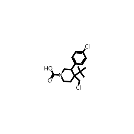 CC(C)(C)C1(CCl)CCN(C(=O)O)CC1c1ccc(Cl)cc1